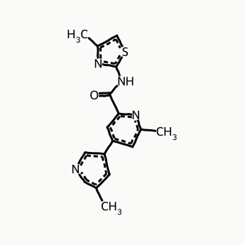 Cc1cncc(-c2cc(C)nc(C(=O)Nc3nc(C)cs3)c2)c1